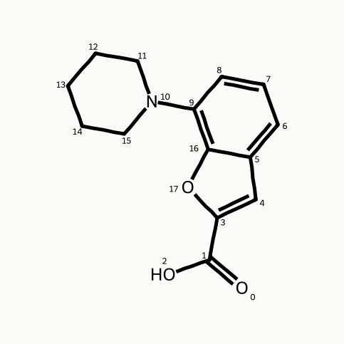 O=C(O)c1cc2cccc(N3CCCCC3)c2o1